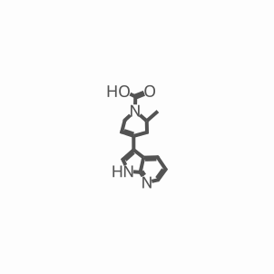 CC1CC(c2c[nH]c3ncccc23)=CCN1C(=O)O